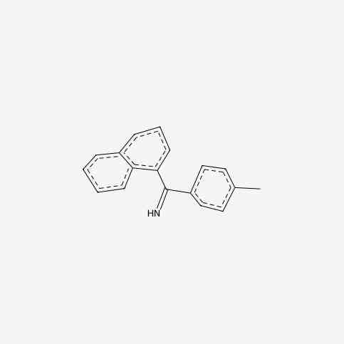 Cc1ccc(C(=N)c2cccc3ccccc23)cc1